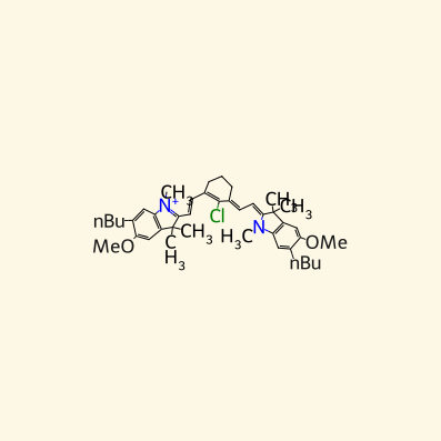 CCCCc1cc2c(cc1OC)C(C)(C)C(/C=C/C1=C(Cl)C(=C/C=C3\N(C)c4cc(CCCC)c(OC)cc4C3(C)C)/CCC1)=[N+]2C